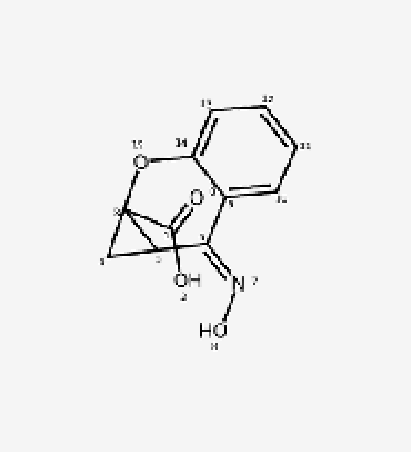 O=C(O)C12CC1/C(=N\O)c1ccccc1O2